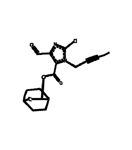 CC#CCn1c(Cl)nc(C=O)c1C(=O)OC1CC2CCC1CC2